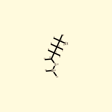 CCC(C)(C)C(C)(C)C(C)(C)C(C)SB(C)C